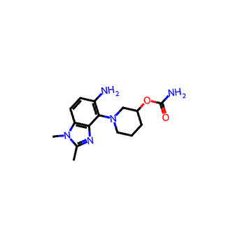 Cc1nc2c(N3CCCC(OC(N)=O)C3)c(N)ccc2n1C